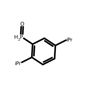 CC(C)c1ccc(C(C)C)c([PH2]=O)c1